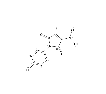 CN(C)C1=C(Cl)C(=O)N(c2ccc(Cl)cc2)C1=O